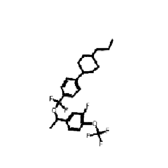 CCCC1CCC(c2ccc(C(F)(F)OC(C)c3ccc(OC(F)(F)F)c(F)c3)cc2)CC1